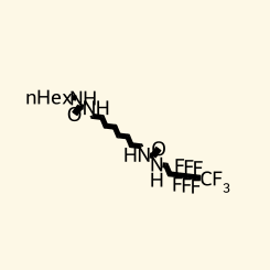 CCCCCCNC(=O)NCCCCCCCCNC(=O)NCCC(F)(F)C(F)(F)C(F)(F)C(F)(F)F